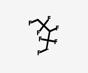 F[CH]C(F)(F)C(F)C(F)(F)CF